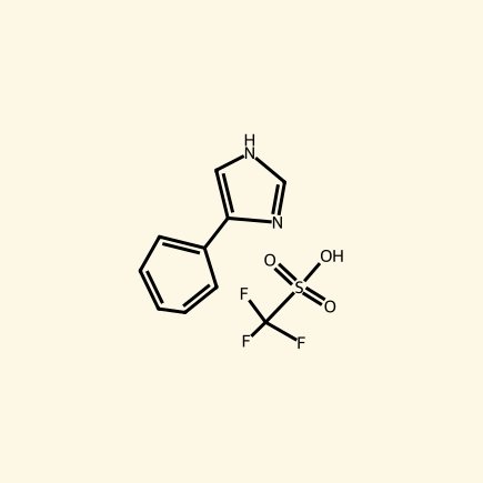 O=S(=O)(O)C(F)(F)F.c1ccc(-c2c[nH]cn2)cc1